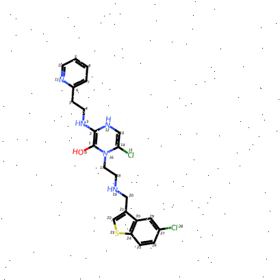 OC1=C(NCCc2ccccn2)NC=C(Cl)N1CCNCc1csc2ccc(Cl)cc12